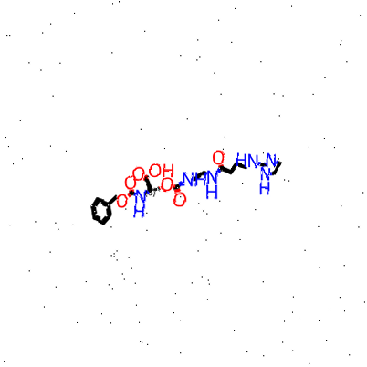 O=C(CCCNC1=NCCN1)NCCNC(=O)OC[C@H](NC(=O)OCc1ccccc1)C(=O)O